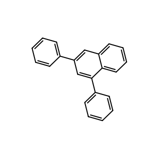 c1ccc(-c2cc(-c3ccccc3)c3ccccc3c2)cc1